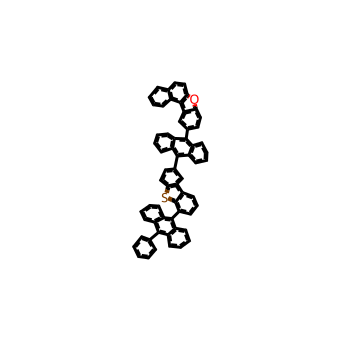 c1ccc(-c2c3ccccc3c(-c3cccc4c3sc3ccc(-c5c6ccccc6c(-c6ccc7oc8ccc9ccccc9c8c7c6)c6ccccc56)cc34)c3ccccc23)cc1